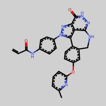 C=CC(=O)Nc1ccc(-n2nc3c(=O)[nH]nc4c3c2-c2ccc(Oc3cccc(C)n3)cc2CN4)cc1